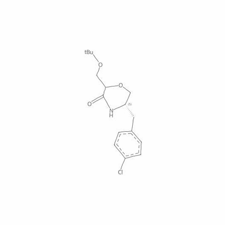 CC(C)(C)OCC1OC[C@H](Cc2ccc(Cl)cc2)NC1=O